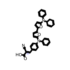 N#C/C(=C\c1ccc(N(c2ccccc2)c2ccc(-c3ccc(N(c4ccccc4)C4C=CC=CC4)o3)o2)cc1)C(=O)O